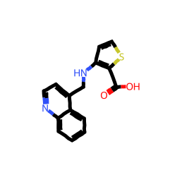 O=C(O)c1sccc1NCc1ccnc2ccccc12